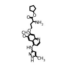 COc1cc2c(Nc3cc(C)[nH]n3)ccnc2cc1OCCC(N)C(=O)OC1CCCC1